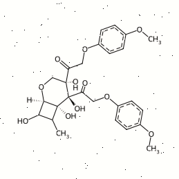 COc1ccc(OCC(=O)[C@@]2(O)[C@](O)(C(=O)COc3ccc(OC)cc3)[CH]O[C@@H]3C(O)C(C)[C@@]32O)cc1